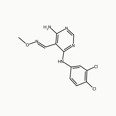 CO/N=C/c1c(N)ncnc1Nc1ccc(Cl)c(Cl)c1